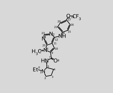 CCN1CCCC1NC(=O)c1cc2c(Nc3ccc(OC(F)(F)F)cc3)ncnc2n1C